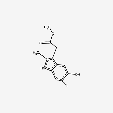 COC(=O)Cc1c(C)[nH]c2cc(F)c(O)cc12